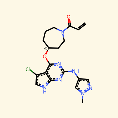 C=CC(=O)N1CCC[C@H](Oc2nc(Nc3cnn(C)c3)nc3[nH]cc(Cl)c23)CC1